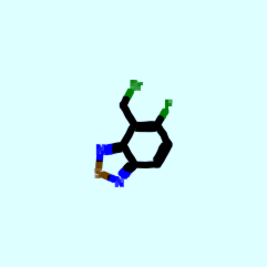 Fc1ccc2nsnc2c1CBr